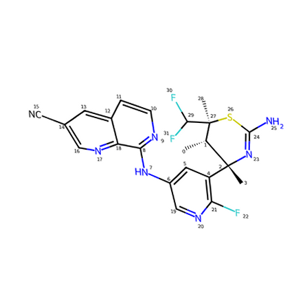 C[C@H]1[C@@](C)(c2cc(Nc3nccc4cc(C#N)cnc34)cnc2F)N=C(N)S[C@]1(C)C(F)F